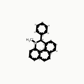 CN1c2cccc3ccc4cccc(c4c23)C1c1ccccc1